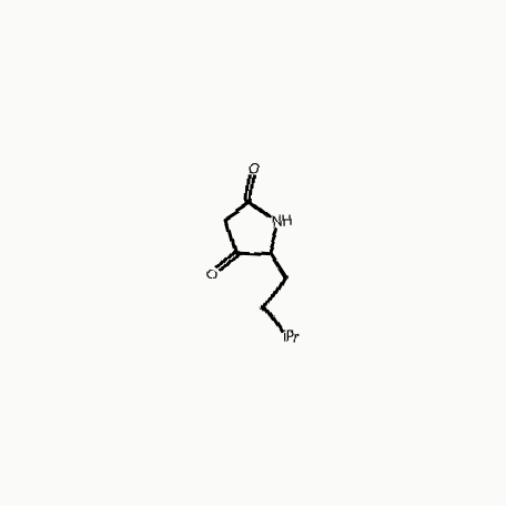 CC(C)CCC1NC(=O)CC1=O